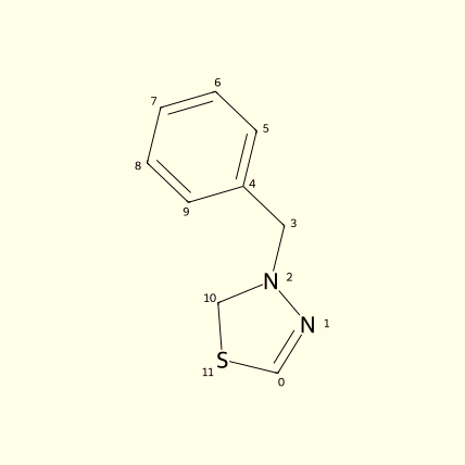 C1=NN(Cc2ccccc2)CS1